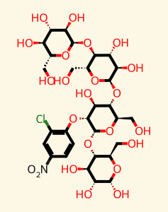 O=[N+]([O-])c1ccc(O[C@H]2[C@@H](O[C@H]3[C@H](O)[C@@H](O)[C@@H](O)O[C@@H]3CO)O[C@H](CO)[C@@H](O[C@H]3O[C@H](CO)[C@@H](O[C@H]4O[C@H](CO)[C@@H](O)[C@H](O)[C@H]4O)[C@H](O)[C@H]3O)[C@@H]2O)c(Cl)c1